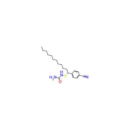 CCCCCCCCCCCC(SNC(N)=O)c1ccc(C#N)cc1